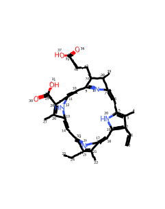 C=Cc1c(C)c2cc3nc(cc4[nH]c(cc5nc(cc1[nH]2)C(C)=C5CC)c(C)c4C(=O)O)C(CCC(=O)O)C3C